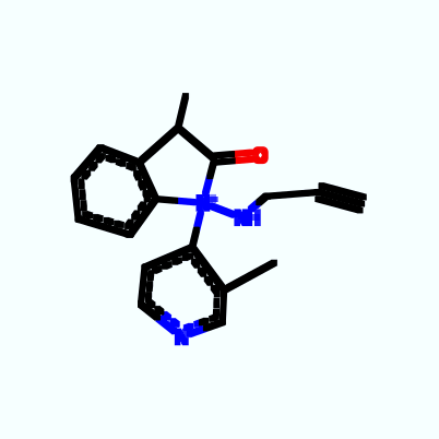 C#CCN[N+]1(c2ccncc2C)C(=O)C(C)c2ccccc21